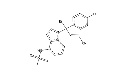 CCC(/C=C/C#N)(c1ccc(Cl)cc1)n1ccc2c(NS(C)(=O)=O)cccc21